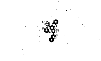 COC(=O)C1=C[C@H](Oc2ccccc2I)[C@@H](O)[C@H](N(CC2=CCC(F)C=C2)C(=O)c2cc3ccccc3oc2=O)C1